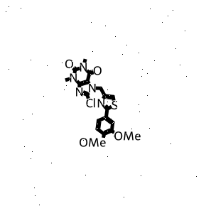 COc1ccc(-c2nc(Cn3c(Cl)nc4c3c(=O)n(C)c(=O)n4C)cs2)cc1OC